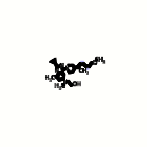 C=C(/C=C\C=C/COC)C1CCN(c2nc(C3CC3)nc3c(C)cc(N(C)CCO)cc23)CC1